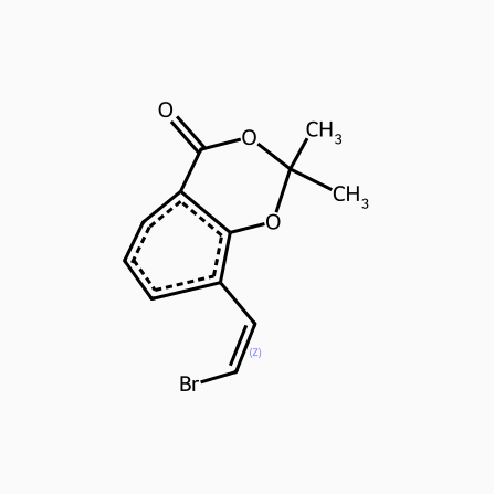 CC1(C)OC(=O)c2cccc(/C=C\Br)c2O1